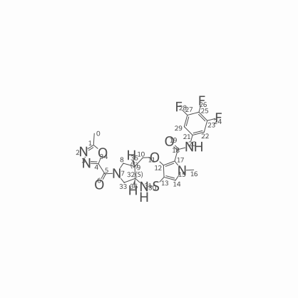 Cc1nnc(C(=O)N2C[C@@H]3COc4c(cn(C)c4C(=O)Nc4cc(F)c(F)c(F)c4)SN[C@@H]3C2)o1